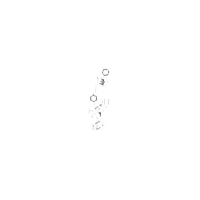 CC(=CC(=O)c1cnccn1)N[C@@H](Cc1ccc(OCCc2nc(-c3ccccc3)oc2C)cc1)C(=O)O